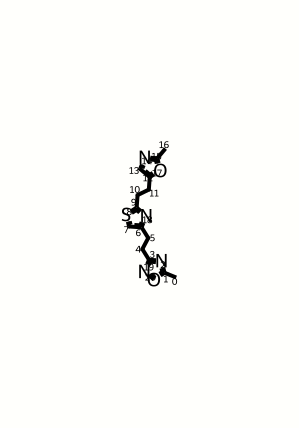 Cc1nc(CCc2csc(CCc3cnc(C)o3)n2)no1